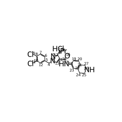 CC(C)c1nn(Cc2ccc(Cl)c(Cl)c2)cc1C(=O)Nc1ccc2c(c1)CCNC2.Cl